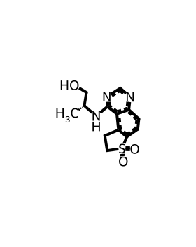 C[C@H](CO)Nc1ncnc2ccc3c(c12)CCS3(=O)=O